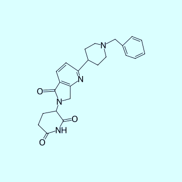 O=C1CCC(N2Cc3nc(C4CCN(Cc5ccccc5)CC4)ccc3C2=O)C(=O)N1